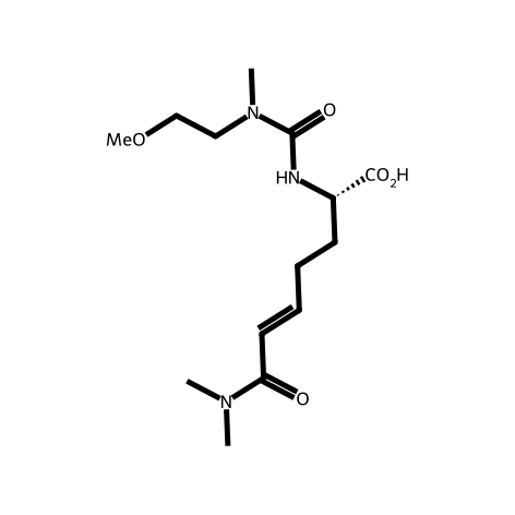 COCCN(C)C(=O)N[C@@H](CC/C=C/C(=O)N(C)C)C(=O)O